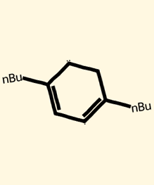 CCCCC1=[C]C=C(CCCC)[C]C1